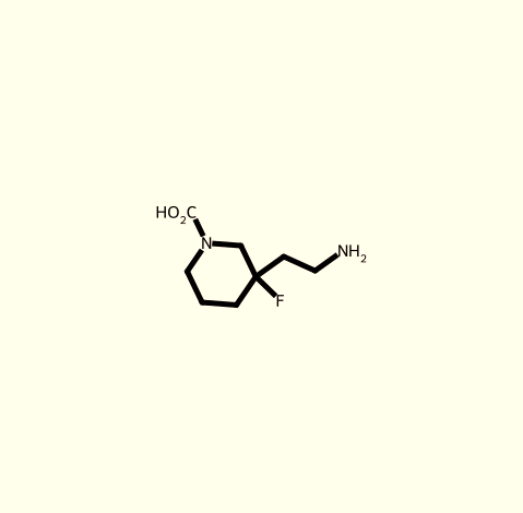 NCCC1(F)CCCN(C(=O)O)C1